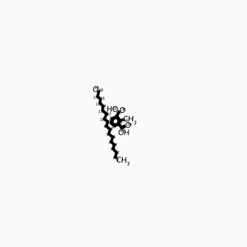 CCCCCCCCCCCCCCCCCCC=O.Cc1c(C(=O)O)cccc1C(=O)O